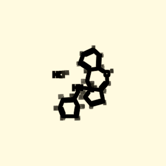 C1=CC2=COc3ccccc3C[N+]2(Nc2ccccc2)C1.Cl